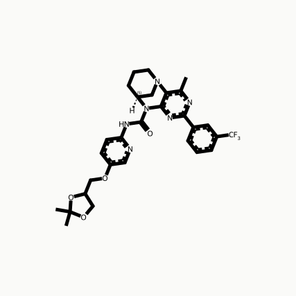 Cc1nc(-c2cccc(C(F)(F)F)c2)nc2c1N1CCC[C@@H](C1)N2C(=O)Nc1ccc(OCC2COC(C)(C)O2)cn1